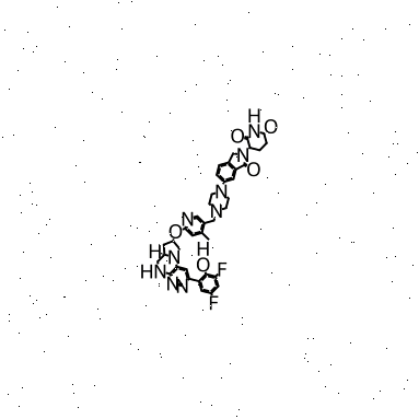 Cc1cc(O[C@@H]2C[C@@H]3CNc4nnc(-c5cc(F)cc(F)c5O)cc4N3C2)ncc1CN1CCN(c2ccc3c(c2)C(=O)N([C@H]2CCC(=O)NC2=O)C3)CC1